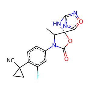 CC1N(c2ccc(C3(C#N)CC3)c(F)c2)C(=O)O[C@@]12Nc1noc2n1